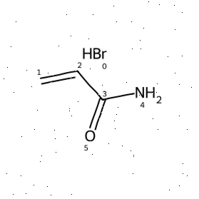 Br.C=CC(N)=O